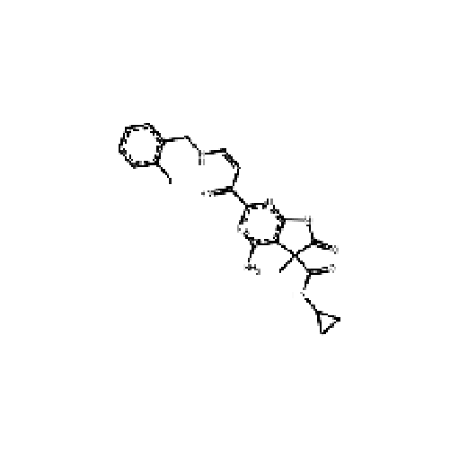 CC1(C(=O)NC2CC2)C(=O)Nc2nc(C(=N)/C=C\NCc3ccccc3F)nc(N)c21